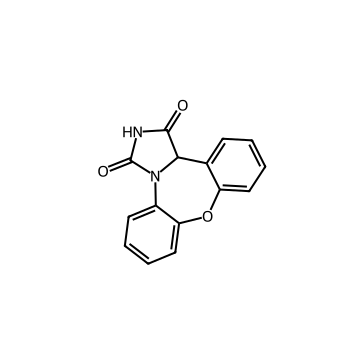 O=C1NC(=O)N2c3ccccc3Oc3ccccc3C12